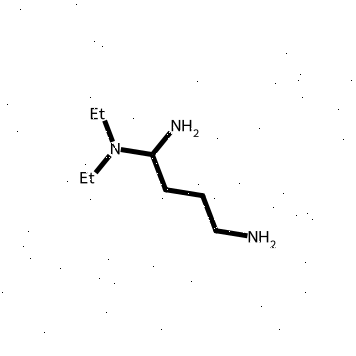 CCN(CC)C(N)CCCN